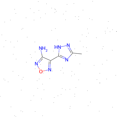 Cc1n[nH]c(-c2nonc2N)n1